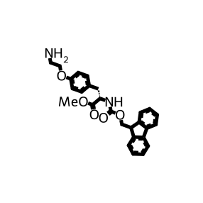 COC(=O)[C@H](Cc1ccc(OCCN)cc1)NC(=O)OCC1c2ccccc2-c2ccccc21